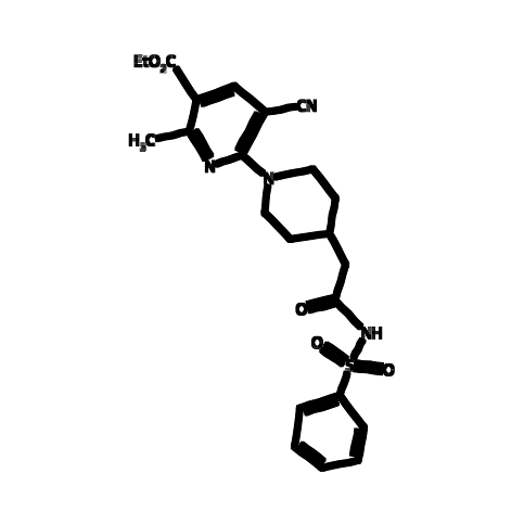 CCOC(=O)c1cc(C#N)c(N2CCC(CC(=O)NS(=O)(=O)c3ccccc3)CC2)nc1C